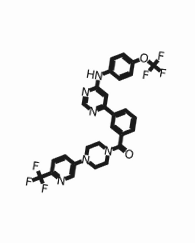 O=C(c1cccc(-c2cc(Nc3ccc(OC(F)(F)F)cc3)ncn2)c1)N1CCN(c2ccc(C(F)(F)F)nc2)CC1